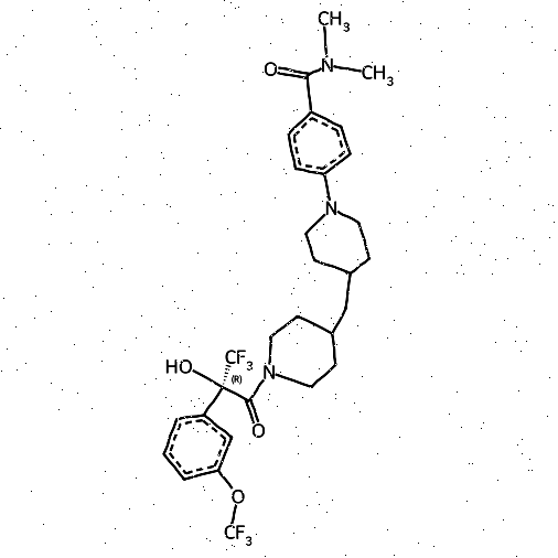 CN(C)C(=O)c1ccc(N2CCC(CC3CCN(C(=O)[C@](O)(c4cccc(OC(F)(F)F)c4)C(F)(F)F)CC3)CC2)cc1